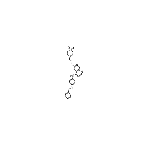 O=S1(=O)CCN(CCCc2cc3c(Nc4ccc(OCc5ccccc5)cc4)ncnc3cn2)CC1